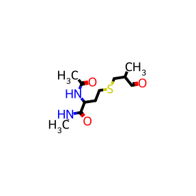 CNC(=O)C(CCSCC(C)C=O)NC(C)=O